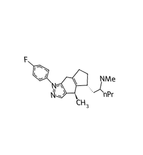 CCCC(C[C@H]1CCC2=C1[C@@H](C)c1cnn(-c3ccc(F)cc3)c1C2)NC